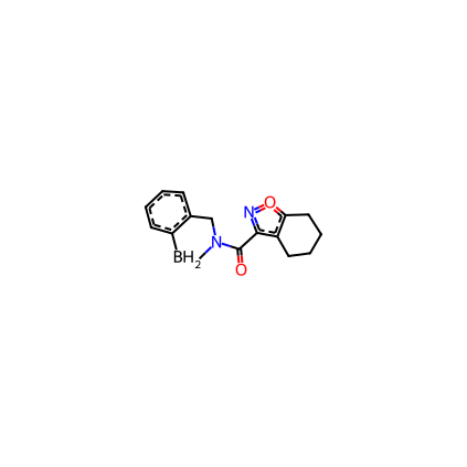 Bc1ccccc1CN(C)C(=O)c1noc2c1CCCC2